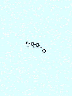 CNCc1c(-c2ccc(NC(=O)Nc3c(F)cc(F)cc3F)cc2F)ccc(-c2ncc(C)[nH]2)c1C=O